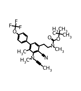 CC#CN(C)c1c(C)c(-c2ccc(OC(F)(F)F)cc2)cc(CCN(C)C(=O)OC(C)(C)C)c1C#N